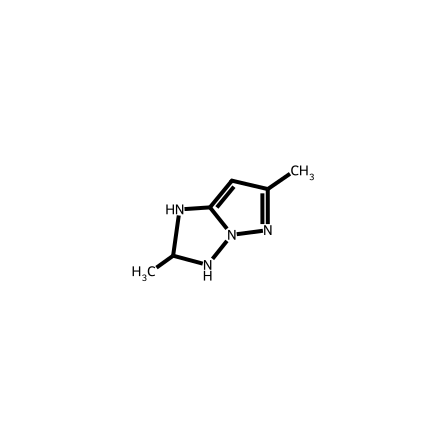 Cc1cc2n(n1)NC(C)N2